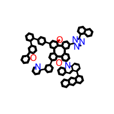 C1=CC2C(=Cc3ccccc3N2c2ccc3c4cc(-c5ncnc(-c6cccc7ccccc67)n5)cc5oc6cc(-c7ccc(-c8ccccc8-c8ccc9oc%10ccccc%10c9c8)cc7)cc(c7ccc(-c8cccc(-c9ccccn9)c8)c8oc2c3c87)c6c54)C(c2cccc3cc4ccccc4cc23)=C1